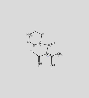 C/C(O)=C(/C(=N)I)C(=O)N1CCNCC1